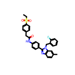 CCS(=O)(=O)c1ccc(CC(=O)Nc2ccc(-c3nc4ccc(C)cc4n3Cc3ccccc3F)cc2)cc1